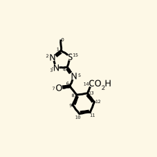 CC1=N[N]C(=NC(=O)c2ccccc2C(=O)O)S1